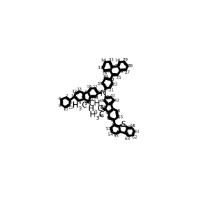 CC1(C)c2cc(-c3ccccc3)ccc2-c2ccc(N(c3ccc(-c4cc5ccccc5c5ccccc45)cc3)c3ccc4c(c3)C(C)(C)c3cc(-c5cccc6c5sc5ccccc56)ccc3-4)cc21